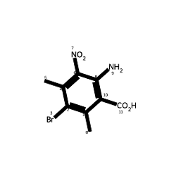 Cc1c(Br)c(C)c([N+](=O)[O-])c(N)c1C(=O)O